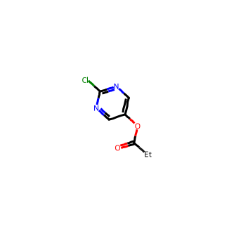 CCC(=O)Oc1cnc(Cl)nc1